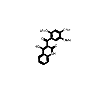 COc1cc(OC)c(C(=O)c2c(O)c3ccccc3[nH]c2=O)cc1OC